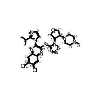 CC(C)c1nccn1-c1nc2cc(Cl)c(Cl)cc2nc1Sc1nnnn1C1COCC1N1CCN(C)CC1